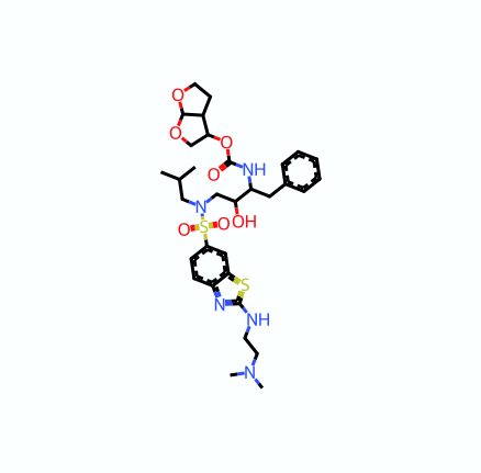 CC(C)CN(CC(O)C(Cc1ccccc1)NC(=O)OC1COC2OCCC12)S(=O)(=O)c1ccc2nc(NCCN(C)C)sc2c1